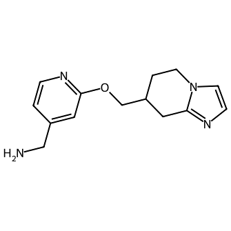 NCc1ccnc(OCC2CCn3ccnc3C2)c1